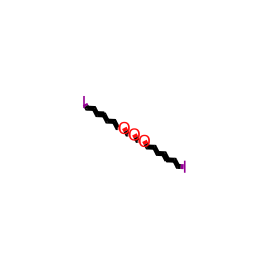 ICCC=CCCCOCOCOCCCC=CCCI